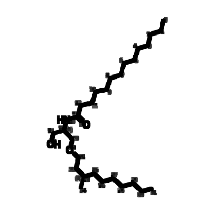 CCCCCCCCCCCCCC(=O)N[C@H](CO)COCC[C@H](C)CCCCCCC